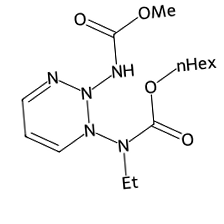 CCCCCCOC(=O)N(CC)N1C=CC=NN1NC(=O)OC